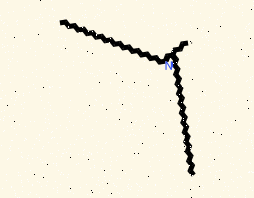 [CH2]CCCc1cc(CCCCCCCCCCCCCCCCCCCCCCC)nc(CCCCCCCCCCCCCCCCCCCCCCC)c1